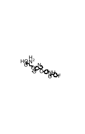 COc1cc2c(Oc3ccc(NC(=O)c4ccc(F)cc4)cc3)ccnc2cc1OCCC(N)C(=O)O